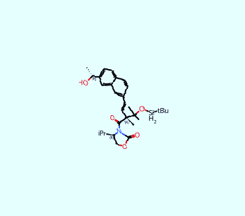 CC(C)[C@@H]1COC(=O)N1C(=O)[C@](C)(C=Cc1ccc2ccc([C@@H](C)O)cc2c1)C(C)(C)O[SiH2]C(C)(C)C